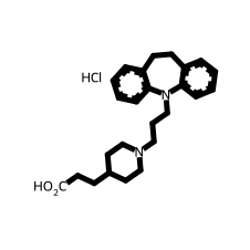 Cl.O=C(O)CCC1CCN(CCCN2c3ccccc3CCc3ccccc32)CC1